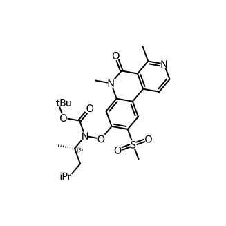 Cc1nccc2c1c(=O)n(C)c1cc(ON(C(=O)OC(C)(C)C)[C@@H](C)CC(C)C)c(S(C)(=O)=O)cc21